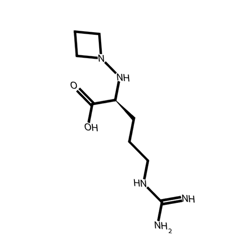 N=C(N)NCCC[C@H](NN1CCC1)C(=O)O